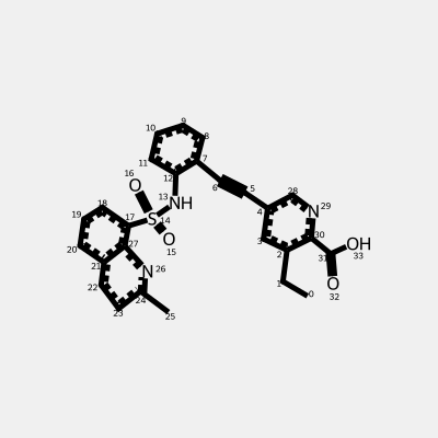 CCc1cc(C#Cc2ccccc2NS(=O)(=O)c2cccc3ccc(C)nc23)cnc1C(=O)O